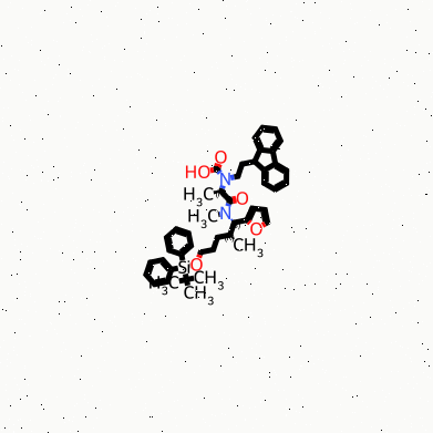 C[C@H](CCCO[Si](c1ccccc1)(c1ccccc1)C(C)(C)C)[C@@H](c1ccco1)N(C)C(=O)[C@@H](C)N(CCC1c2ccccc2-c2ccccc21)C(=O)O